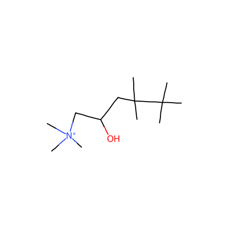 CC(C)(C)C(C)(C)CC(O)C[N+](C)(C)C